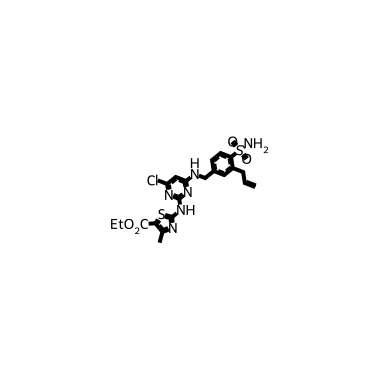 C=CCc1cc(CNc2cc(Cl)nc(Nc3nc(C)c(C(=O)OCC)s3)n2)ccc1S(N)(=O)=O